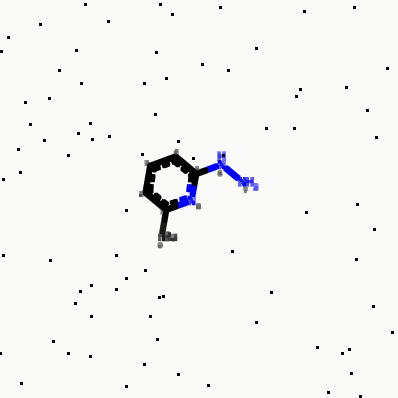 CCCCc1cccc(NN)n1